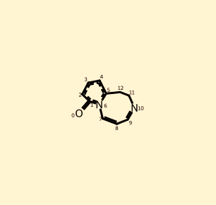 O=c1cccc2n1C=CC=NCC2